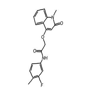 Cc1ccc(NC(=O)COc2cc(=O)n(C)c3ccccc23)cc1F